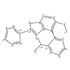 CCc1ccc2c(c1-c1ccccc1C(C)C)C=C(c1ccccc1)[CH]2